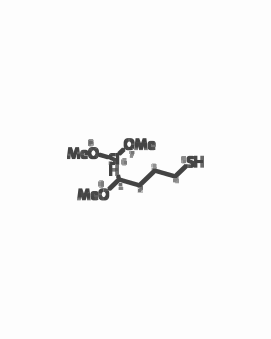 COC(CCCS)[SiH](OC)OC